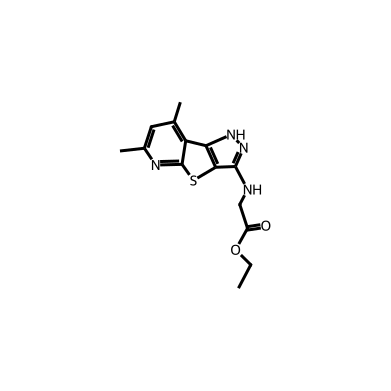 CCOC(=O)CNc1n[nH]c2c1sc1nc(C)cc(C)c12